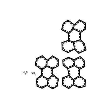 [BiH3].[BiH3].c1cc2cccc3c4cccc5cccc(c(c1)c23)c54.c1cc2cccc3c4cccc5cccc(c(c1)c23)c54.c1cc2cccc3c4cccc5cccc(c(c1)c23)c54